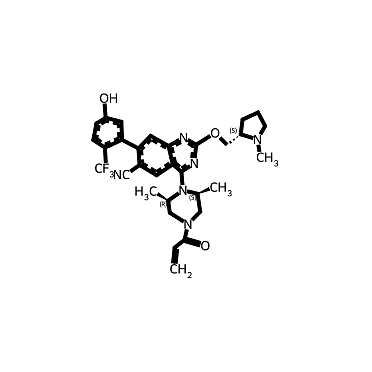 C=CC(=O)N1C[C@@H](C)N(c2nc(OC[C@@H]3CCCN3C)nc3cc(-c4cc(O)ccc4C(F)(F)F)c(C#N)cc23)[C@@H](C)C1